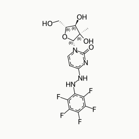 C[C@@]1(O)[C@H](O)[C@@H](CO)O[C@H]1n1ccc(NNc2c(F)c(F)c(F)c(F)c2F)nc1=O